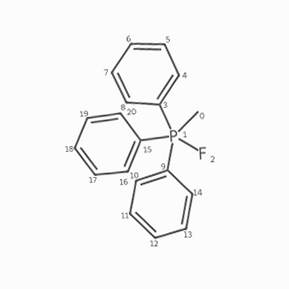 CP(F)(c1ccccc1)(c1ccccc1)c1ccccc1